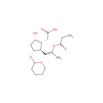 CCC(=O)OC(C)=C[C@@H]1[C@@H](CC(=O)O)[C@@H](O)C[C@H]1OC1CCCCO1